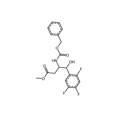 COC(=O)CC(NC(=O)OCc1ccccc1)C(O)c1cc(F)c(F)cc1F